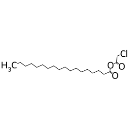 CCCCCCCCCCCCCCCCCC(=O)OC(=O)CCl